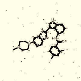 CN1CCN(c2ccc3nc(-c4n[nH]c5cccc(NC(=O)c6ccc(F)cc6F)c45)[nH]c3c2)CC1